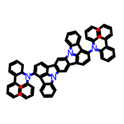 C1=CCC(N(c2ccccc2)c2ccc3c4cc5c(cc4n4c6ccccc6c2c34)c2ccc(N(c3ccccc3)c3ccccc3-c3ccccc3)c3c4ccccc4n5c23)C(c2ccccc2)=C1